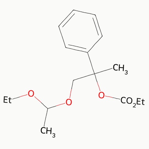 CCOC(=O)OC(C)(COC(C)OCC)c1ccccc1